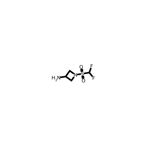 NC1CN(S(=O)(=O)C(F)F)C1